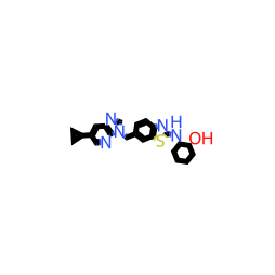 O[C@@H]1CCCC[C@H]1Nc1nc2ccc(Cn3cnc4cc(C5CC5)cnc43)cc2s1